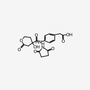 O=C(O)Cc1ccc(NC(=O)C2(O)CCOC(=O)C2)cc1.O=C1CCC(=O)N1